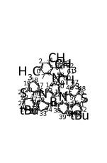 Cc1cc(C)c2c(c1)N(c1cc3c4c(c1)N(c1cccc5sc6ccccc6c15)c1cc(C(C)(C)C)ccc1B4c1ccc(C(C)(C)C)cc1N3c1cccc3sc4ccccc4c13)C1(C)CCCCC21C